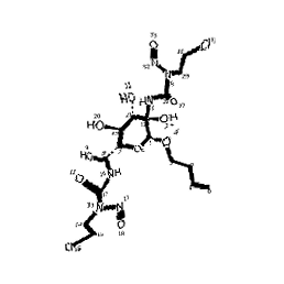 CCCCO[C@H]1O[C@H](C(O)NC(=O)N(CCCl)N=O)[C@@H](O)[C@H](O)[C@]1(O)NC(=O)N(CCCl)N=O